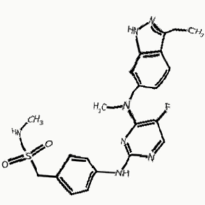 CNS(=O)(=O)Cc1ccc(Nc2ncc(F)c(N(C)c3ccc4c(C)n[nH]c4c3)n2)cc1